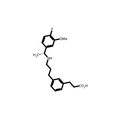 COc1cc([C@@H](C)NCCCc2cccc(CCC(=O)O)c2)ccc1F